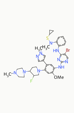 COc1cc(N2CCC(N3CCN(C)CC3)C(F)C2)c(-c2cnn(C)c2)cc1Nc1ncc(Br)c(Nc2ccccc2N(C)SC2CC2)n1